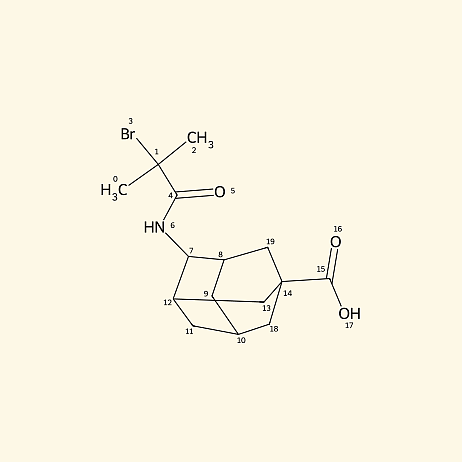 CC(C)(Br)C(=O)NC1C2CC3CC1CC(C(=O)O)(C3)C2